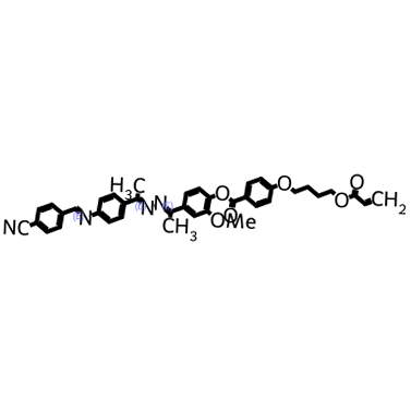 C=CC(=O)OCCCCOc1ccc(C(=O)Oc2ccc(/C(C)=N/N=C(\C)c3ccc(/N=C/c4ccc(C#N)cc4)cc3)cc2OC)cc1